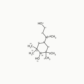 CN(CCO)C1CC(C)(C)N(O)C(C)(C)C1